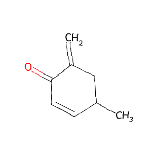 C=C1CC(C)C=CC1=O